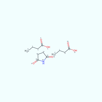 CCCC(=O)O.CCCC(=O)O.O=C1CCC(=O)N1